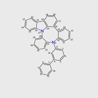 c1ccc(-c2cccc(-n3c4ccccc4c4cccc5c6ccccc6n(c6ccccc63)c45)c2)cc1